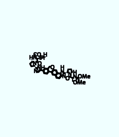 COC[C@H](NC(=O)OC)C(=O)N1[C@@H](C)CC[C@H]1c1nc2ccc3cc4c(cc3c2[nH]1)OCc1cc(-c2cnc([C@@H]3CC[C@H](C)N3C(=O)[C@@H](NC(=O)O)C(C)C)[nH]2)ccc1-4